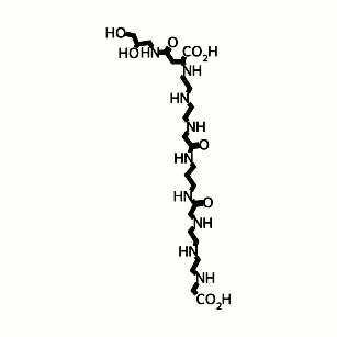 O=C(O)CNCCNCCNCC(=O)NCCCNC(=O)CNCCNCCNC(CC(=O)NCC(O)CO)C(=O)O